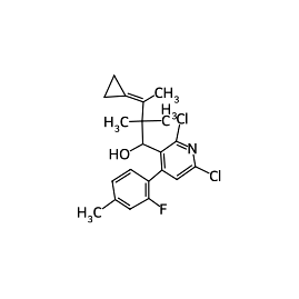 CC(=C1CC1)C(C)(C)C(O)c1c(-c2ccc(C)cc2F)cc(Cl)nc1Cl